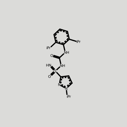 CC(C)c1cccc(C(C)C)c1NC(=O)NS(=N)(=O)c1ccn(C(C)C)n1